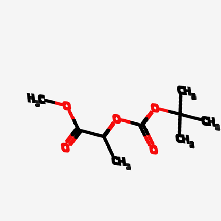 COC(=O)C(C)OC(=O)OC(C)(C)C